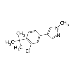 Cn1cc(-c2ccc(C(C)(C)C)c(Cl)c2)cn1